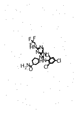 NC(=O)[C@H]1CC[C@H](n2c(Nc3c(Cl)cc(Cl)cc3Cl)nc3cnc(NCC(F)(F)F)nc32)CC1